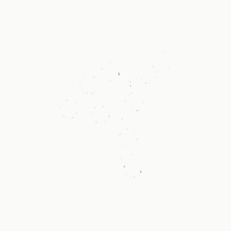 c1ccc(-c2ccc(N(c3ccc4c(c3)oc3ccccc34)c3ccc4c5cc6ccccc6cc5n(-c5ccccc5)c4c3)cc2-c2ccccc2)cc1